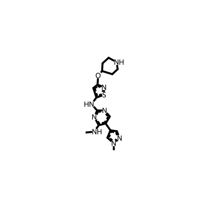 CNc1nc(Nc2cc(OC3CCNCC3)ns2)ncc1-c1cnn(C)c1